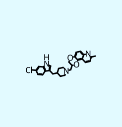 Cc1ccc2c3c(ccc2n1)OCC(CN1CCC(Cc2c[nH]c4cc(Cl)ccc24)CC1)O3